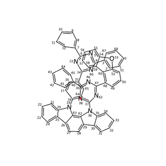 c1ccc(-c2nc(-c3ccccc3)nc(-c3ccc(-n4c5ccccc5c5ccc6c7ccccc7n(-c7nc(-c8ccccc8)nc(-c8cccc9oc%10ccccc%10c89)n7)c6c54)cc3)n2)cc1